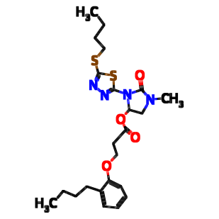 CCCCSc1nnc(N2C(=O)N(C)CC2OC(=O)CCOc2ccccc2CCCC)s1